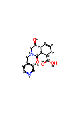 O=CCN(Cc1ccncc1)C(=O)C1CC=CCC1C(=O)O